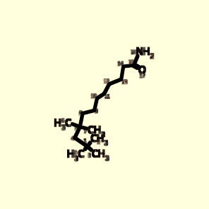 CC(C)(C)CC(C)(C)CCCCCCCC(N)=O